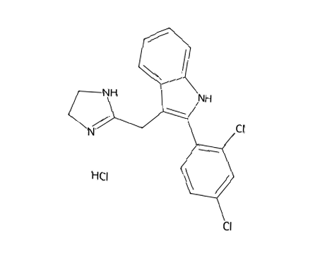 Cl.Clc1ccc(-c2[nH]c3ccccc3c2CC2=NCCN2)c(Cl)c1